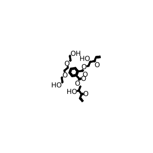 C=CC(=O)C(O)COC(=O)c1ccccc1C(=O)OCC(O)C(=O)C=C.OCCOCCOCCO